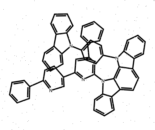 c1ccc(-c2ccc(-c3cc(-c4ccccc4)nc(-n4c5ccccc5c5ccc6c7ccccc7n(-c7ccc(-n8c9ccccc9c9ccccc98)cc7)c6c54)n3)cn2)cc1